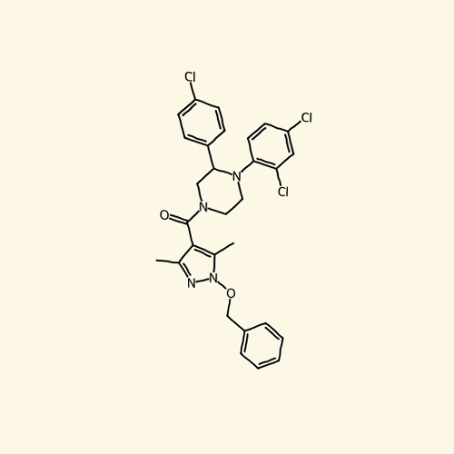 Cc1nn(OCc2ccccc2)c(C)c1C(=O)N1CCN(c2ccc(Cl)cc2Cl)C(c2ccc(Cl)cc2)C1